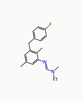 CCN(C)/C=N/c1cc(C)cc(Cc2ccc(F)cc2)c1C